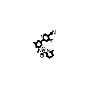 Cc1cc(-c2cc(F)c(C#N)cn2)cc(N(C)S(=O)(=O)c2cccc(C)n2)c1